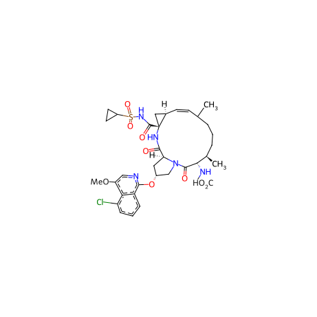 COc1cnc(O[C@@H]2C[C@H]3C(=O)N[C@]4(C(=O)NS(=O)(=O)C5CC5)C[C@H]4/C=C\C(C)CCC[C@@H](C)[C@H](NC(=O)O)C(=O)N3C2)c2cccc(Cl)c12